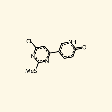 CSc1nc(Cl)cc(-c2ccc(=O)[nH]c2)n1